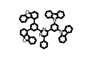 c1ccc(-c2cc(-c3cc(-n4c5ccccc5c5ccccc54)cc(-n4c5ccccc5c5ccccc54)c3)nc(-c3cc(-c4cccc5oc6ccccc6c45)cc(-c4cccc5oc6ccccc6c45)c3)n2)cc1